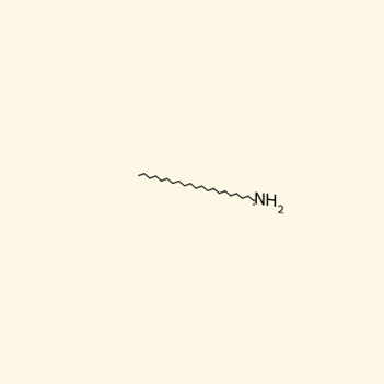 CCCCCCCCCCCCCCCCCCCC[CH]N